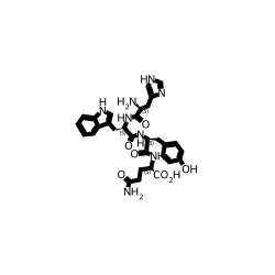 NC(=O)CC[C@H](NC(=O)[C@H](Cc1ccc(O)cc1)NC(=O)[C@H](Cc1c[nH]c2ccccc12)NC(=O)[C@@H](N)Cc1c[nH]cn1)C(=O)O